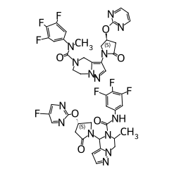 CC1Cn2nccc2C(N2C[C@@H](Oc3ncc(F)cn3)CC2=O)N1C(=O)Nc1cc(F)c(F)c(F)c1.CN(C(=O)N1CCn2ncc(N3C[C@@H](Oc4ncccn4)CC3=O)c2C1)c1cc(F)c(F)c(F)c1